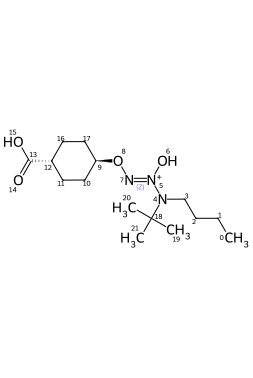 CCCCN(/[N+](O)=N/O[C@H]1CC[C@H](C(=O)O)CC1)C(C)(C)C